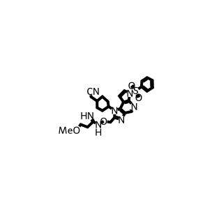 COCCC(=N)NOCc1nc2cnc3c(ccn3S(=O)(=O)c3ccccc3)c2n1C1CCC(CC#N)CC1